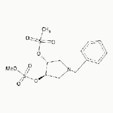 COS(=O)(=O)O[C@@H]1CN(Cc2ccccc2)C[C@H]1OS(C)(=O)=O